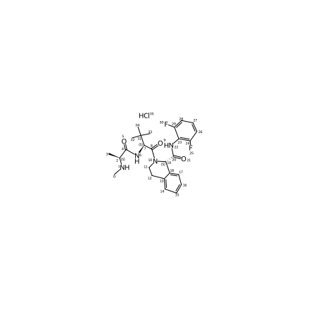 CN[C@@H](C)C(=O)N[C@H](C(=O)N1CCc2ccccc2[C@H]1C(=O)Nc1c(F)cccc1F)C(C)(C)C.Cl